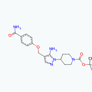 CC1(OC(=O)N2CCC(n3ncc(COc4ccc(C(N)=O)cc4)c3N)CC2)CC1